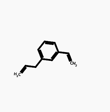 C=CCc1cccc(C=C)c1